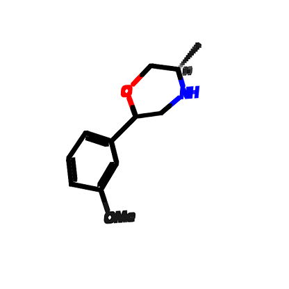 COc1cccc(C2CN[C@@H](C)CO2)c1